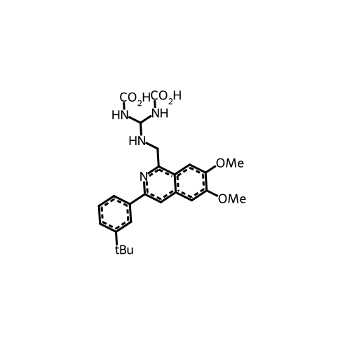 COc1cc2cc(-c3cccc(C(C)(C)C)c3)nc(CNC(NC(=O)O)NC(=O)O)c2cc1OC